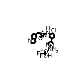 Nc1ncc(-c2ccc(Cl)c(NC3=NC(=O)C(=Cc4ccc5ncccc5c4)S3)c2)cn1.O=C(O)C(F)(F)F